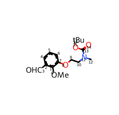 COc1c(C=O)cccc1OCCN(C)C(=O)OC(C)(C)C